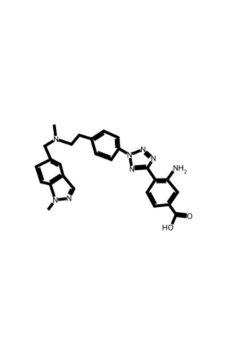 CN(CCc1ccc(-n2nnc(-c3ccc(C(=O)O)cc3N)n2)cc1)Cc1ccc2c(cnn2C)c1